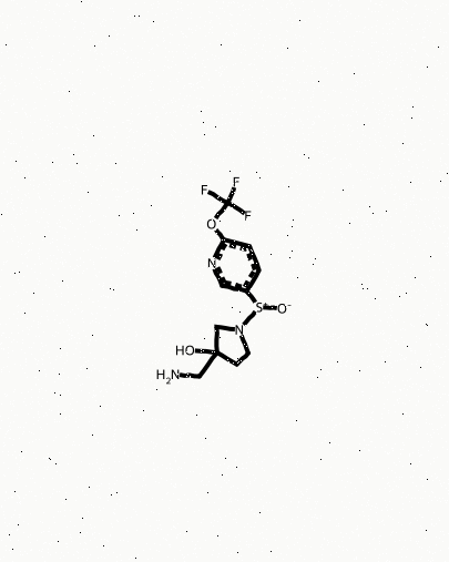 NCC1(O)CCN([S+]([O-])c2ccc(OC(F)(F)F)nc2)C1